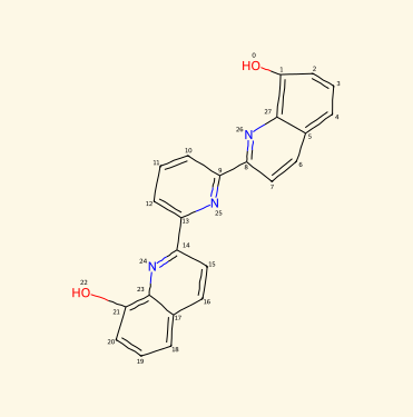 Oc1cccc2ccc(-c3cccc(-c4ccc5cccc(O)c5n4)n3)nc12